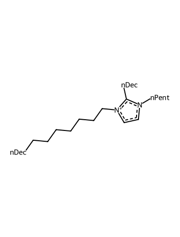 CCCCCCCCCCCCCCCCC[n+]1ccn(CCCCC)c1CCCCCCCCCC